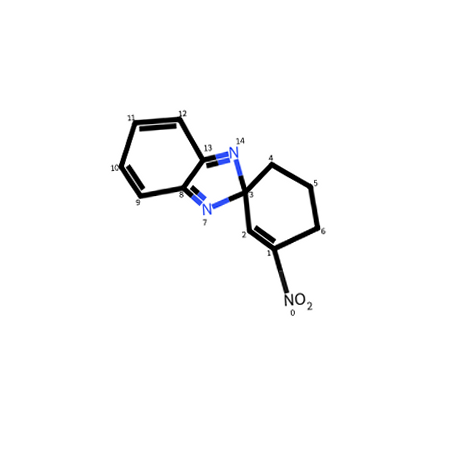 O=[N+]([O-])C1=CC2(CCC1)N=c1ccccc1=N2